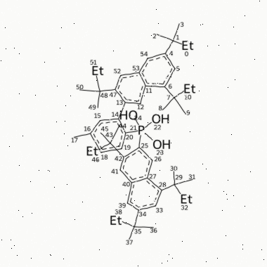 CCC(C)(C)c1cc(C(C)(C)CC)c2cc(-c3cc(C)ccc3P(O)(O)(O)c3cc4c(C(C)(C)CC)cc(C(C)(C)CC)cc4cc3C(C)(C)CC)c(C(C)(C)CC)cc2c1